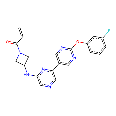 C=CC(=O)N1CC(Nc2cncc(-c3cnc(Oc4cccc(F)c4)nc3)n2)C1